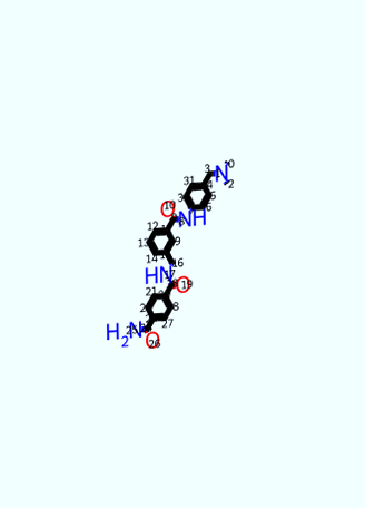 CN(C)Cc1ccc(NC(=O)c2cccc(CNC(=O)c3ccc(C(N)=O)cc3)c2)cc1